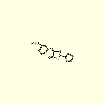 COc1cc(/C=C2/N=C(c3cccs3)OC2=O)ccn1